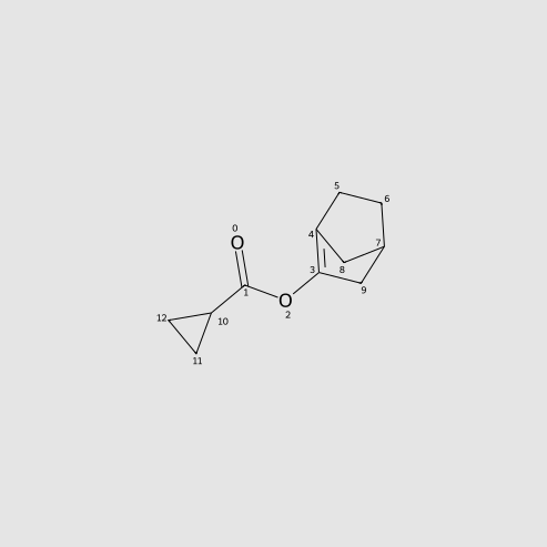 O=C(OC1=C2CCC(C2)C1)C1CC1